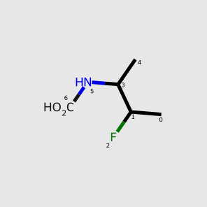 CC(F)C(C)NC(=O)O